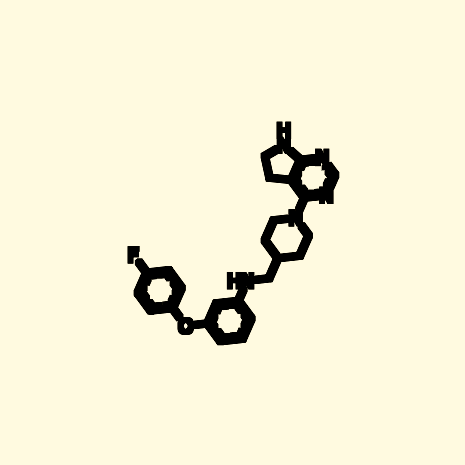 Fc1ccc(Oc2cccc(NCC3CCN(c4ncnc5c4CCN5)CC3)c2)cc1